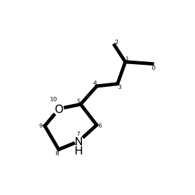 CC(C)CCC1CNCCO1